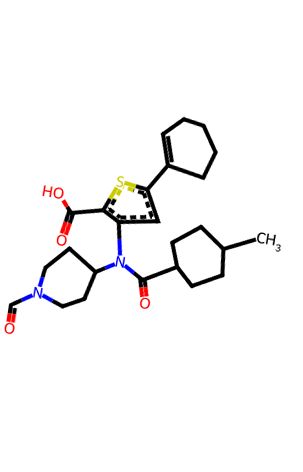 CC1CCC(C(=O)N(c2cc(C3=CCCCC3)sc2C(=O)O)C2CCN(C=O)CC2)CC1